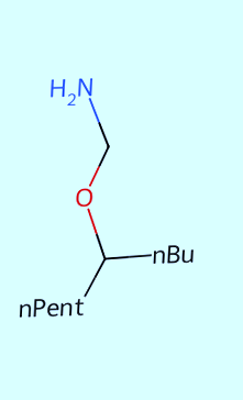 CCCCCC(CCCC)OCN